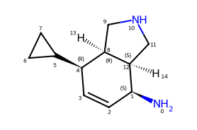 N[C@H]1C=C[C@@H](C2CC2)[C@H]2CNC[C@H]21